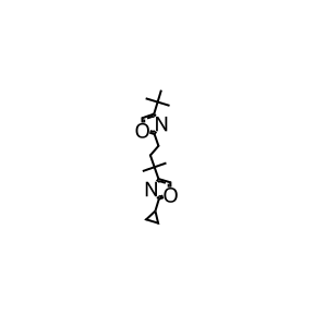 CC(C)(C)c1coc(CCC(C)(C)c2coc(C3CC3)n2)n1